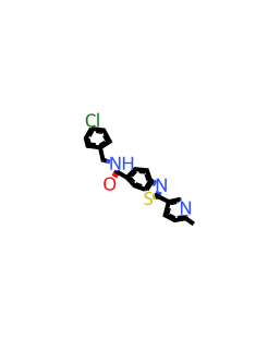 Cc1ccc(-c2nc3ccc(C(=O)NCc4ccc(Cl)cc4)cc3s2)cn1